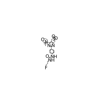 C[C@H]1COCCN1c1nc(-c2ccc(NC(=O)NCCCF)cc2)nc2c1CS(=O)(=O)C2